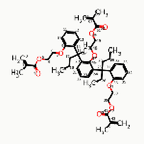 C=C(C)C(=O)OCCOc1ccccc1C(C)(CCC)c1cccc(C(CC)(CCC)c2ccccc2OCCOC(=O)C(=C)C)c1OCCOC(=O)C(=C)C